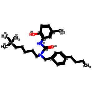 CCCCc1ccc(CN(CCCCC[Si](C)(C)C)C(=O)Nc2cc(C)ccc2O)cc1